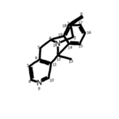 C=CCN1C2Cc3ccncc3C1(C)c1ccccc12